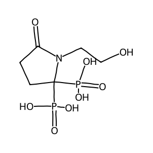 O=C1CCC(P(=O)(O)O)(P(=O)(O)O)N1CCO